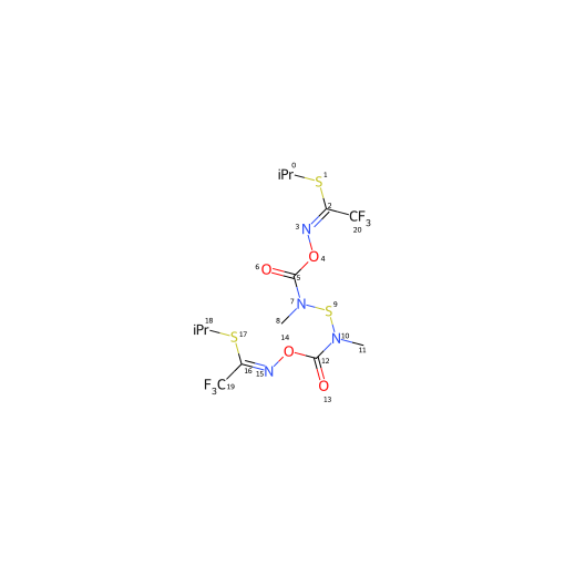 CC(C)SC(=NOC(=O)N(C)SN(C)C(=O)ON=C(SC(C)C)C(F)(F)F)C(F)(F)F